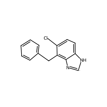 Clc1ccc2[nH][c]nc2c1Cc1ccccc1